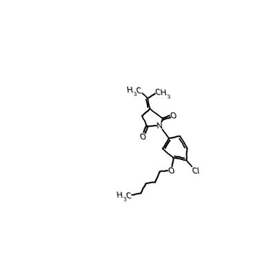 CCCCCOc1cc(N2C(=O)CC(=C(C)C)C2=O)ccc1Cl